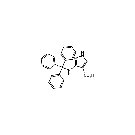 O=C(O)c1c[nH]nc1NC(c1ccccc1)(c1ccccc1)c1ccccc1